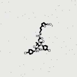 CC1(C)C(N(O)C(=O)Nc2ccc(Cl)cc2)N(c2ccc(Cl)cc2)C(=O)N1CC(=O)N/N=C/C=Cc1ccc([N+](=O)[O-])o1